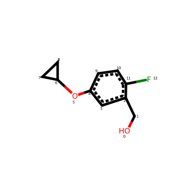 OCc1cc(OC2CC2)ccc1F